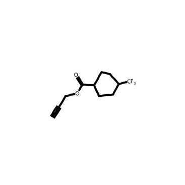 C#CCOC(=O)C1CCC(C(F)(F)F)CC1